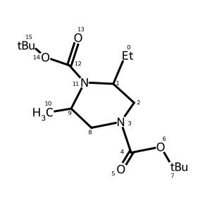 CCC1CN(C(=O)OC(C)(C)C)CC(C)N1C(=O)OC(C)(C)C